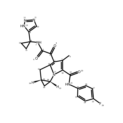 Cc1c(C(=O)C(=O)NC2(c3cnn[nH]3)CC2)c2n(c1C(=O)Nc1ccc(F)cc1)[C@@H]1C[C@@H]1C2